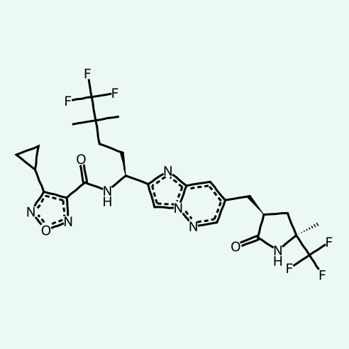 CC(C)(CC[C@H](NC(=O)c1nonc1C1CC1)c1cn2ncc(C[C@H]3C[C@@](C)(C(F)(F)F)NC3=O)cc2n1)C(F)(F)F